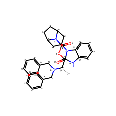 C[C@@H](COC(=O)N1C2CCC1CC(n1c(=O)[nH]c3ccccc31)C2)N(Cc1ccccc1)Cc1ccccc1